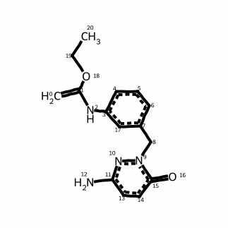 C=C(Nc1cccc(Cn2nc(N)ccc2=O)c1)OCC